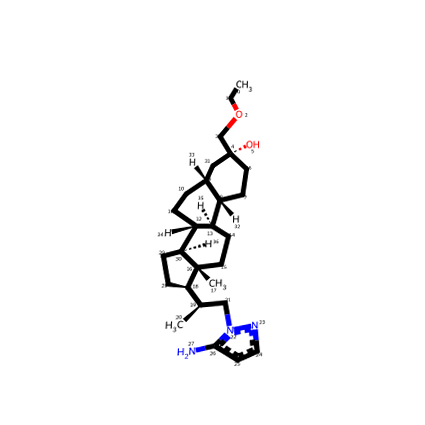 CCOC[C@@]1(O)CC[C@H]2[C@H](CC[C@@H]3[C@@H]2CC[C@]2(C)[C@@H]([C@H](C)Cn4nccc4N)CC[C@@H]32)C1